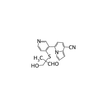 CC(C=O)(CO)Sc1ccncc1-c1ccc(C#N)c2cccn12